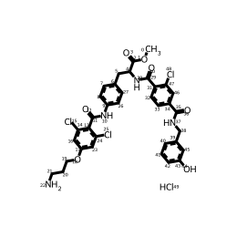 COC(=O)C(Cc1ccc(NC(=O)c2c(Cl)cc(OCCCN)cc2Cl)cc1)NC(=O)c1ccc(C(=O)NCc2cccc(O)c2)cc1Cl.Cl